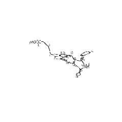 O=C(O)CCC(=O)O.O=C1NC(=O)c2ccccc21